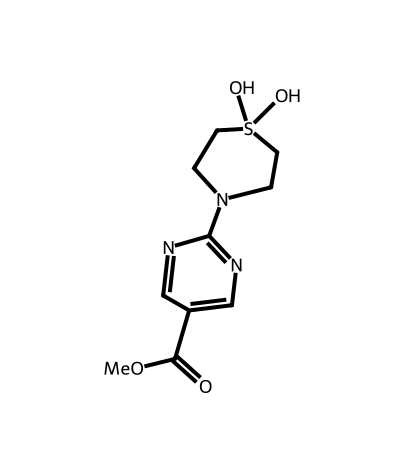 COC(=O)c1cnc(N2CCS(O)(O)CC2)nc1